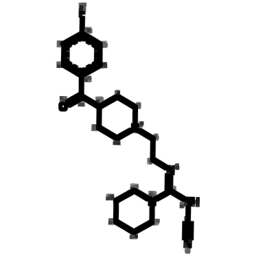 N#CNC(=NCCN1CCC(C(=O)c2ccc(F)cc2)CC1)N1CCCCC1